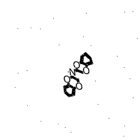 c1ccc2c(c1)OCC([N]C1COc3ccccc3O1)O2